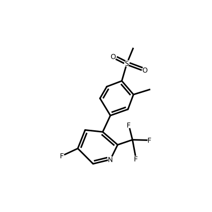 Cc1cc(-c2cc(F)cnc2C(F)(F)F)ccc1S(C)(=O)=O